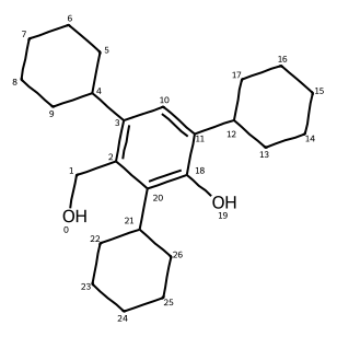 OCc1c(C2CCCCC2)cc(C2CCCCC2)c(O)c1C1CCCCC1